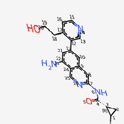 N#CC1C[C@H]1C(=O)Nc1cc2cc(-c3cnccc3CCO)cc(N)c2cn1